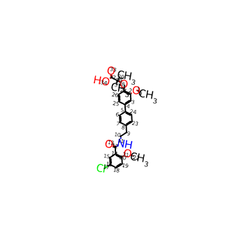 COc1cc(-c2ccc(CCNC(=O)c3cc(Cl)ccc3OC)cc2)ccc1OC(C)(C)C(=O)O